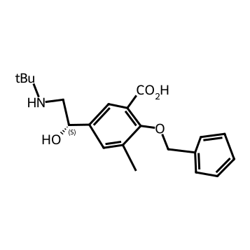 Cc1cc([C@H](O)CNC(C)(C)C)cc(C(=O)O)c1OCc1ccccc1